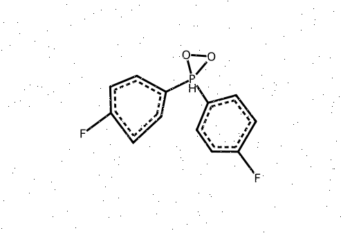 Fc1ccc([PH]2(c3ccc(F)cc3)OO2)cc1